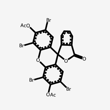 CC(=O)Oc1c(Br)cc2c(c1Br)Oc1c(cc(Br)c(OC(C)=O)c1Br)C21OC(=O)c2ccccc21